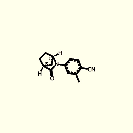 Cc1cc(N2C(=O)[C@@H]3CC[C@H]2C3)ccc1C#N